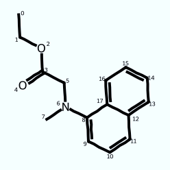 CCOC(=O)CN(C)c1cccc2ccccc12